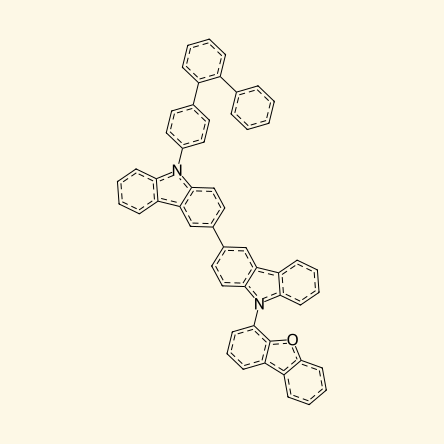 c1ccc(-c2ccccc2-c2ccc(-n3c4ccccc4c4cc(-c5ccc6c(c5)c5ccccc5n6-c5cccc6c5oc5ccccc56)ccc43)cc2)cc1